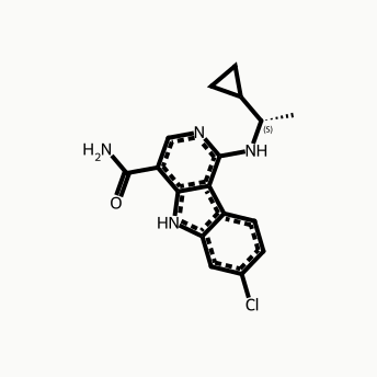 C[C@H](Nc1ncc(C(N)=O)c2[nH]c3cc(Cl)ccc3c12)C1CC1